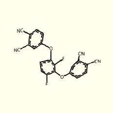 N#Cc1ccc(Oc2ccc(F)c(Oc3ccc(C#N)c(C#N)c3)c2F)cc1C#N